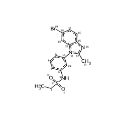 CCS(=O)(=O)Nc1cccc(-n2c(C)nc3ccc(Br)cc32)c1